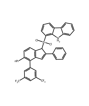 CCCc1ccc2c(c1-c1cc(C(F)(F)F)cc(C(F)(F)F)c1)C=C(c1ccccc1)[CH]2[Zr]([Cl])([Cl])[c]1cccc2c1[SiH2]c1ccccc1-2